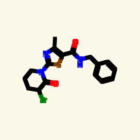 Cc1nc(N2CCCC(Br)C2=O)sc1C(=O)NCc1ccccc1